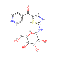 O=C(c1ccncc1)c1cnc(NC2OC(CO)C(O)C(O)C2O)s1